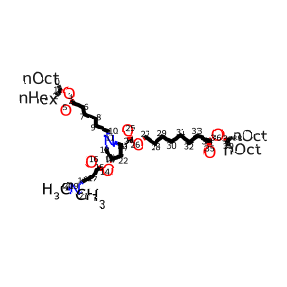 CCCCCCCCC(CCCCCC)OC(=O)CCCCCN1C[C@@H](OC(=O)CCN(C)C)C[C@H]1C(=O)OCCCCCCCC(=O)OC(CCCCCCCC)CCCCCCCC